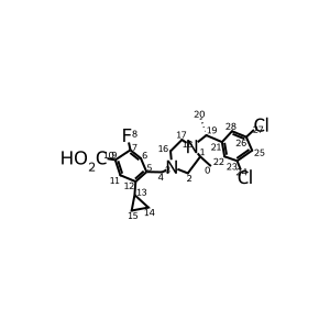 CC1CN(Cc2cc(F)c(C(=O)O)cc2C2CC2)CCN1[C@H](C)c1cc(Cl)cc(Cl)c1